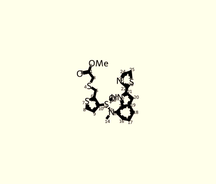 COC(=O)CSCc1sccc1[S+]([O-])N(C)c1cccc2cc(-c3nccs3)[nH]c12